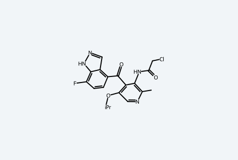 Cc1ncc(OC(C)C)c(C(=O)c2ccc(F)c3[nH]ncc23)c1NC(=O)CCl